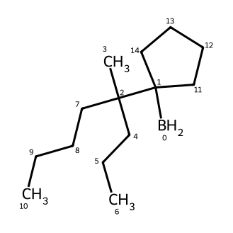 BC1(C(C)(CCC)CCCC)CCCC1